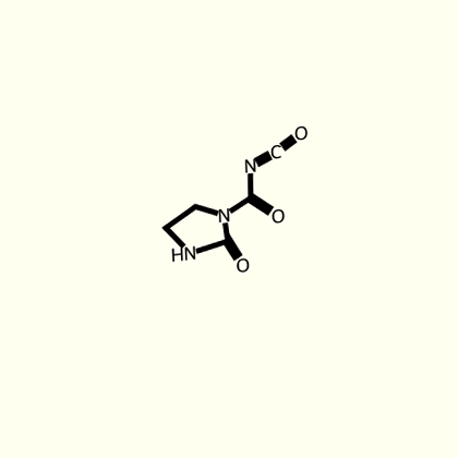 O=C=NC(=O)N1CCNC1=O